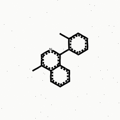 Cc1ccccc1-c1ncc(C)c2ccccc12